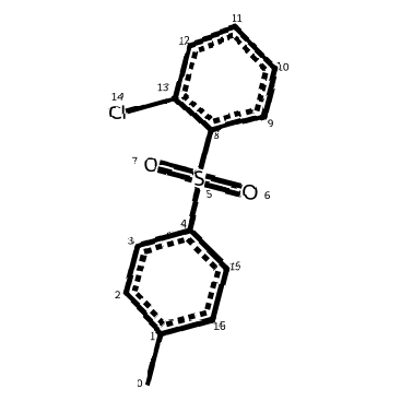 Cc1ccc(S(=O)(=O)c2ccccc2Cl)cc1